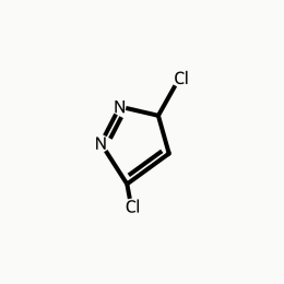 ClC1=CC(Cl)N=N1